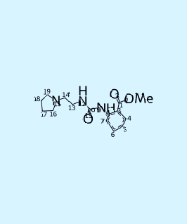 COC(=O)c1ccccc1NC(=O)NCCN1CCCC1